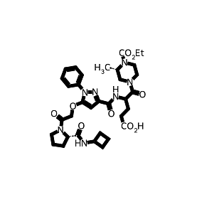 CCOC(=O)N1CCN(C(=O)C(CCC(=O)O)NC(=O)c2cc(OCC(=O)N3CCC[C@H]3C(=O)NC3CCC3)n(-c3ccccc3)n2)C[C@@H]1C